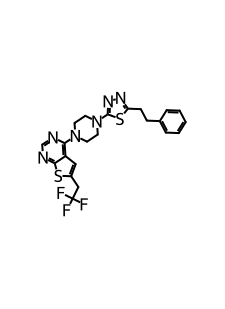 FC(F)(F)Cc1cc2c(N3CCN(c4nnc(CCc5ccccc5)s4)CC3)ncnc2s1